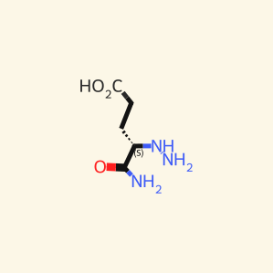 NN[C@@H](CCC(=O)O)C(N)=O